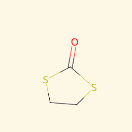 O=C1SCCS1